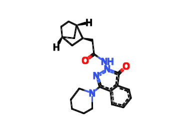 O=C(C[C@H]1C[C@@H]2CC[C@H]1C2)Nn1nc(N2CCCCC2)c2ccccc2c1=O